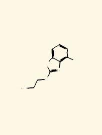 COCCNc1nc2c(C(=O)O)cccc2o1